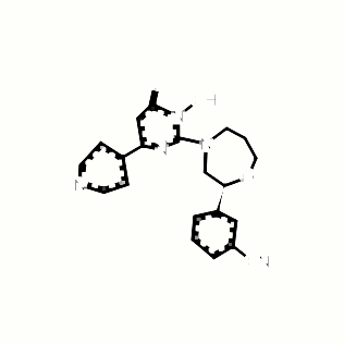 Cn1c(N2CCCO[C@@H](c3cccc(C#N)c3)C2)nc(-c2ccncc2)cc1=O